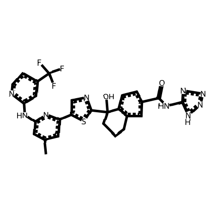 Cc1cc(Nc2cc(C(F)(F)F)ccn2)nc(-c2cnc(C3(O)CCCc4cc(C(=O)Nc5nnn[nH]5)ccc43)s2)c1